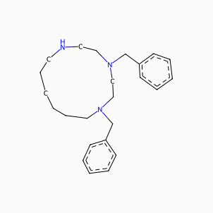 c1ccc(CN2CCCCCCNCCN(Cc3ccccc3)CC2)cc1